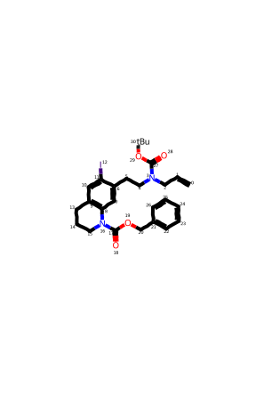 C=CCN(CCc1cc2c(cc1I)CCCN2C(=O)OCc1ccccc1)C(=O)OC(C)(C)C